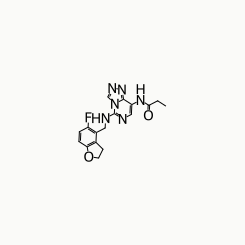 CCC(=O)Nc1cnc(NCc2c(F)ccc3c2CCO3)n2cnnc12